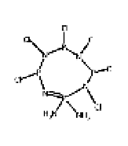 NP1(N)=NP(Cl)N(Cl)P(Cl)N(Cl)P(Cl)N1Cl